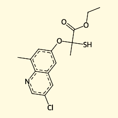 CCOC(=O)C(C)(S)Oc1cc(C)c2ncc(Cl)cc2c1